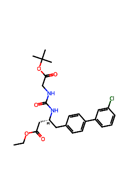 CCOC(=O)C[C@@H](Cc1ccc(-c2cccc(Cl)c2)cc1)NC(=O)NCC(=O)OC(C)(C)C